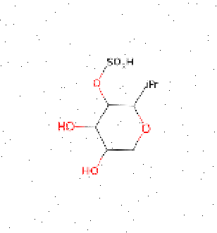 CC(C)C1OCC(O)C(O)C1OS(=O)(=O)O